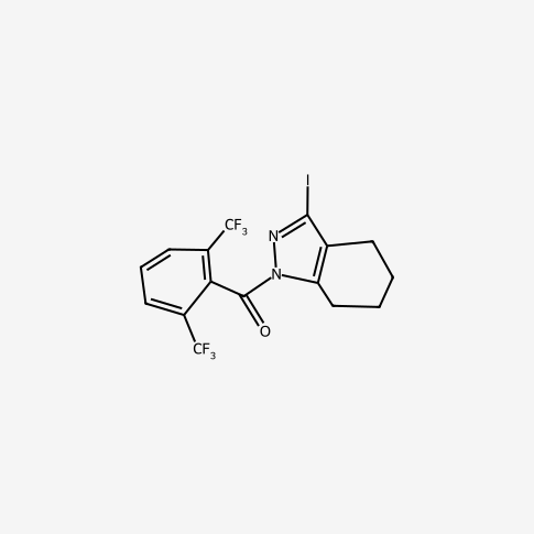 O=C(c1c(C(F)(F)F)cccc1C(F)(F)F)n1nc(I)c2c1CCCC2